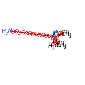 CC(C)(C)OC(=O)CCOCC(COCCC=O)(COCCC(=O)OC(C)(C)C)NC(=O)CCOCCOCCOCCOCCOCCOCCOCCOCCOCCOCCOCCOCCN